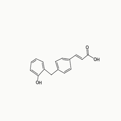 O=C(O)C=Cc1ccc(Cc2ccccc2O)cc1